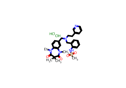 CCN1C(=O)C(C)(C)C(=O)N(C)c2cc(CN(CCc3cccnc3)Cc3ccccc3NS(C)(=O)=O)ccc21.Cl.Cl